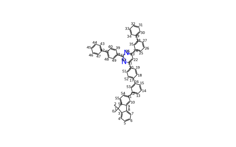 CC1(C)c2ccccc2-c2cc(-c3cccc(-c4ccc(-c5cc(-c6cccc(-c7ccccc7)c6)nc(-c6ccc(-c7ccccc7)cc6)n5)cc4)c3)ccc21